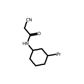 CC(C)C1CCCC(NC(=O)CC#N)C1